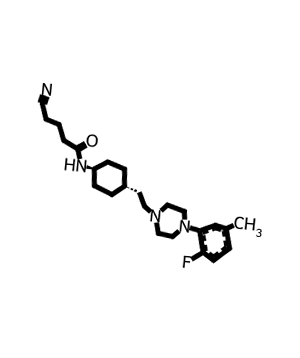 Cc1ccc(F)c(N2CCN(CC[C@H]3CC[C@H](NC(=O)CCCC#N)CC3)CC2)c1